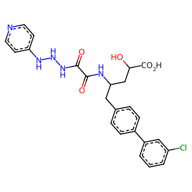 O=C(NNNc1ccncc1)C(=O)NC(Cc1ccc(-c2cccc(Cl)c2)cc1)CC(O)C(=O)O